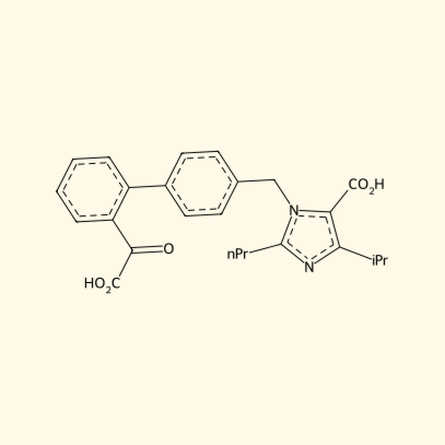 CCCc1nc(C(C)C)c(C(=O)O)n1Cc1ccc(-c2ccccc2C(=O)C(=O)O)cc1